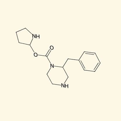 O=C(OC1CCCN1)N1CCNCC1Cc1ccccc1